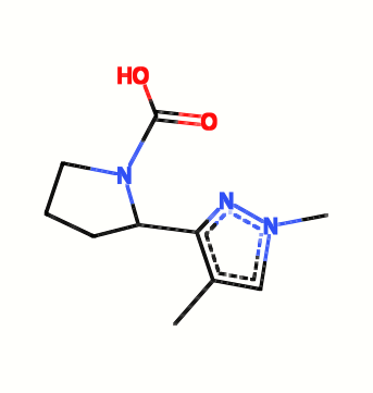 Cc1cn(C)nc1C1CCCN1C(=O)O